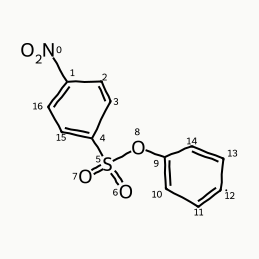 O=[N+]([O-])c1ccc(S(=O)(=O)Oc2cc[c]cc2)cc1